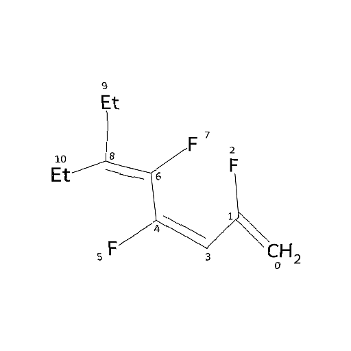 C=C(F)/C=C(/F)C(F)=C(CC)CC